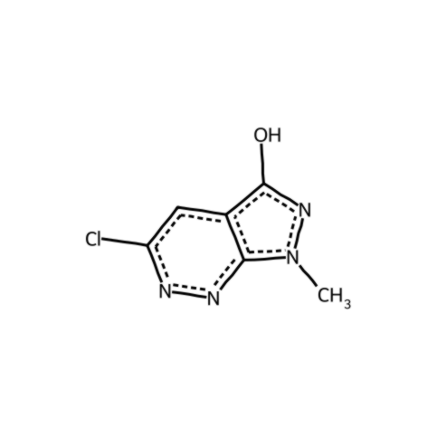 Cn1nc(O)c2cc(Cl)nnc21